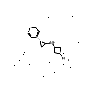 N[C@H]1C[C@@H](N[C@H]2C[C@@H]2C2=CCCC=C2)C1